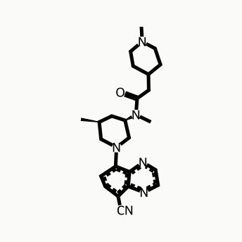 C[C@H]1C[C@@H](N(C)C(=O)CC2CCN(C)CC2)CN(c2ccc(C#N)c3nccnc23)C1